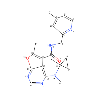 Cc1ccnc(CNC(=O)c2c(C)oc3ncnc(N(C)C4(C)CC4)c23)c1